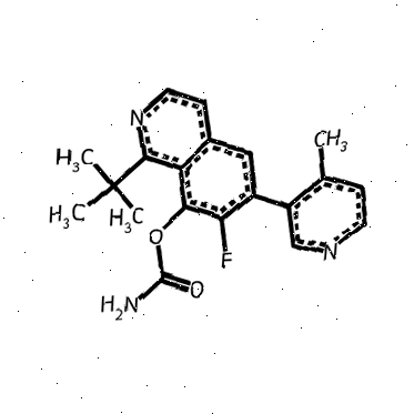 Cc1ccncc1-c1cc2ccnc(C(C)(C)C)c2c(OC(N)=O)c1F